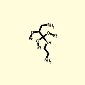 CCOC(C[SiH3])C(NCCN)(OCC)OCC